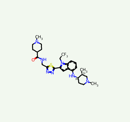 C[C@H]1CN(C)CC[C@H]1Nc1cccc2c1cc(-c1nnc(CNC(=O)C3CCN(C)CC3)s1)n2CC(F)(F)F